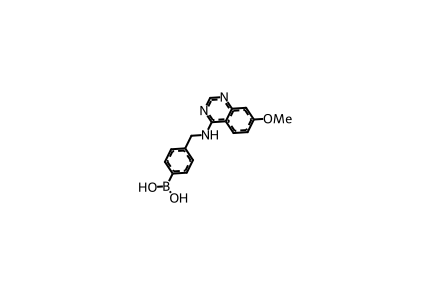 COc1ccc2c(NCc3ccc(B(O)O)cc3)ncnc2c1